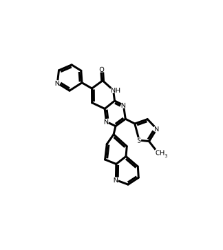 Cc1ncc(-c2nc3[nH]c(=O)c(-c4cccnc4)cc3nc2-c2ccc3ncccc3c2)s1